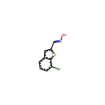 O/N=C/c1cc2cccc(Br)c2s1